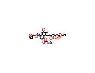 C=CCOC(=O)CC(O)CC(=O)CCC1C(C)C(=O)C=C2/C(=N/OCc3ccco3)CCC(OC(=O)C(C)CC)C21